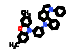 Cc1ccc2c(c1)Oc1cc(C)ccc1N2c1cccc(-n2c3ccccc3c3c4c(ccc32)ccn4-c2ccccc2)c1